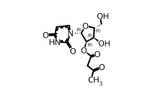 CC(=O)CC(=O)O[C@@H]1[C@H](O)[C@@H](CO)O[C@H]1n1ccc(=O)[nH]c1=O